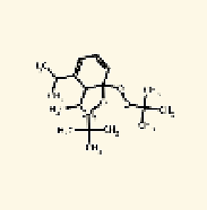 CC(C)C1=CC=CC(OOC(C)(C)C)(OOC(C)(C)C)C1C(C)C